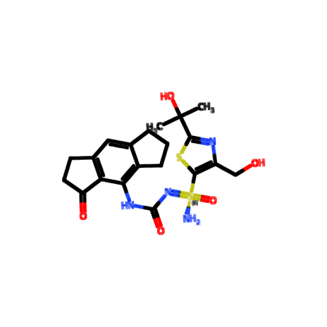 CC(C)(O)c1nc(CO)c([S@](N)(=O)=NC(=O)Nc2c3c(cc4c2C(=O)CC4)CCC3)s1